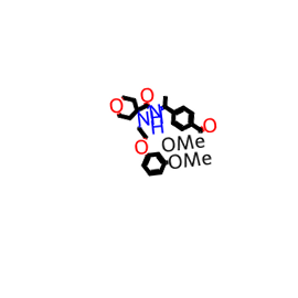 COC(=O)c1ccc(C(C)NC(=O)C2(NCCOc3cccc(OC)c3)CCOCC2)cc1